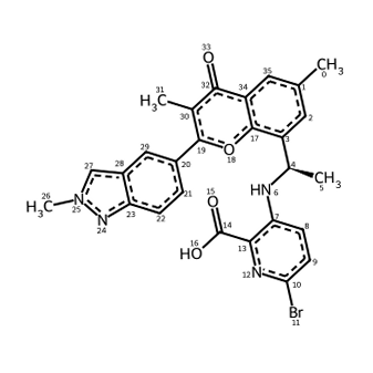 Cc1cc([C@@H](C)Nc2ccc(Br)nc2C(=O)O)c2oc(-c3ccc4nn(C)cc4c3)c(C)c(=O)c2c1